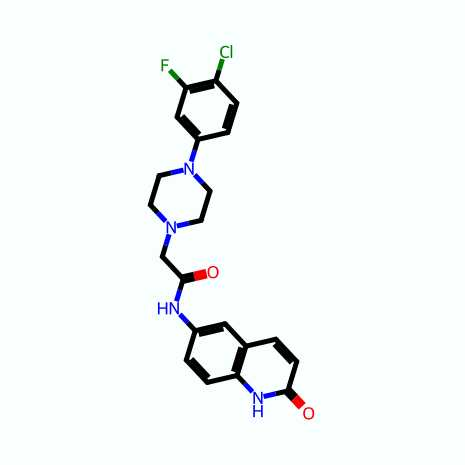 O=C(CN1CCN(c2ccc(Cl)c(F)c2)CC1)Nc1ccc2[nH]c(=O)ccc2c1